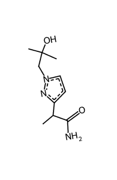 CC(C(N)=O)c1ccn(CC(C)(C)O)n1